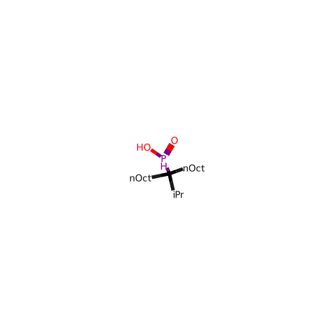 CCCCCCCCC(CCCCCCCC)(C(C)C)[PH](=O)O